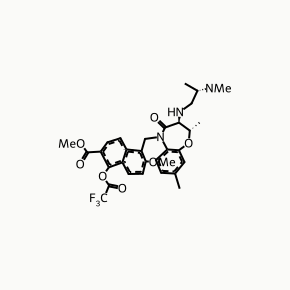 CN[C@@H](C)CN[C@@H]1C(=O)N(Cc2c(OC)ccc3c(OC(=O)C(F)(F)F)c(C(=O)OC)ccc23)c2ccc(C)cc2O[C@H]1C